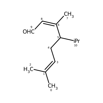 CC(C)=CCC(C(C)=CC=O)C(C)C